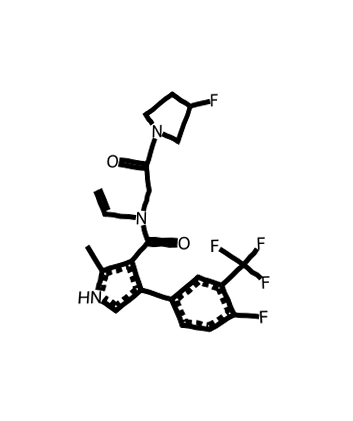 C=CN(CC(=O)N1CCC(F)C1)C(=O)c1c(-c2ccc(F)c(C(F)(F)F)c2)c[nH]c1C